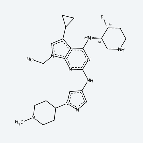 CN1CCC(n2cc(Nc3nc(N[C@H]4CNCC[C@H]4F)c4c(C5CC5)cn(CO)c4n3)cn2)CC1